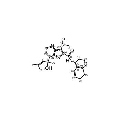 CC(C)=CC(C)(O)c1ccnc2c(N(C)C)c(C(=O)NC3CCOC4=C3C=CCC4)sc12